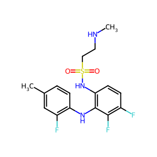 CNCCS(=O)(=O)Nc1ccc(F)c(F)c1Nc1ccc(C)cc1F